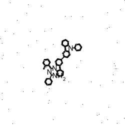 C=c1cccc/c1=C(/N=C(\N)c1ccccc1)n1c2ccccc2c2cc(-c3ccc4c(c3)c3ccccc3n4-c3ccccc3)ccc21